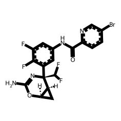 NC1=N[C@@](c2cc(NC(=O)c3ccc(Br)cn3)cc(F)c2F)(C(F)F)[C@H]2C[C@H]2O1